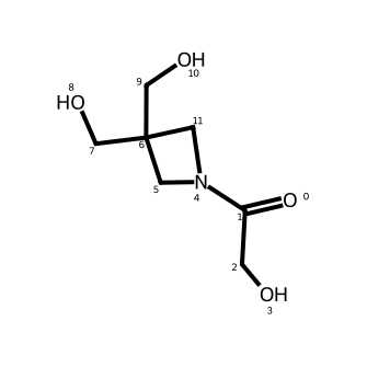 O=C(CO)N1CC(CO)(CO)C1